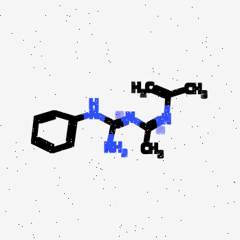 C=C(C)/N=C(C)\N=C(/N)Nc1ccccc1